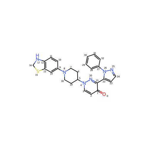 O=c1ccn(C2CCN(c3ccc4c(c3)SCN4)CC2)nc1-c1ccnn1-c1ccccc1